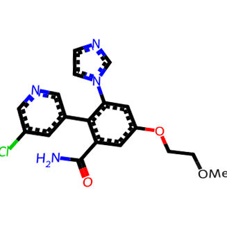 COCCOc1cc(C(N)=O)c(-c2cncc(Cl)c2)c(-n2ccnc2)c1